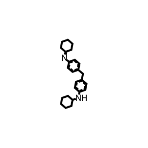 c1cc(N=C2CCCCC2)ccc1Cc1ccc(NC2CCCCC2)cc1